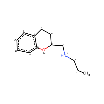 CCCNCC1CCc2ccccc2O1